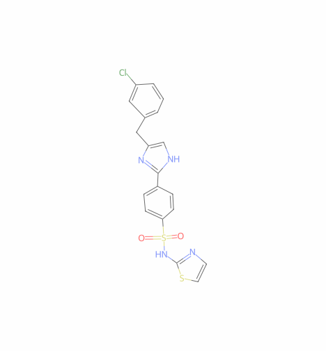 O=S(=O)(Nc1nccs1)c1ccc(-c2nc(Cc3cccc(Cl)c3)c[nH]2)cc1